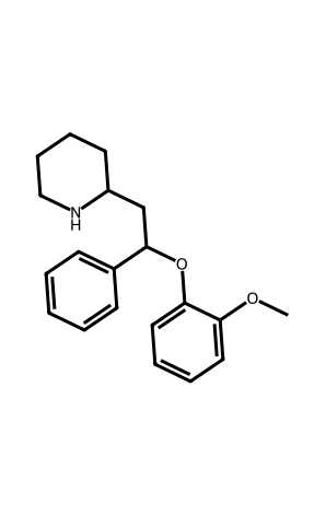 COc1ccccc1OC(CC1CCCCN1)c1ccccc1